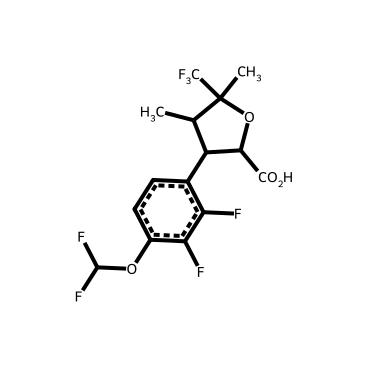 CC1C(c2ccc(OC(F)F)c(F)c2F)C(C(=O)O)OC1(C)C(F)(F)F